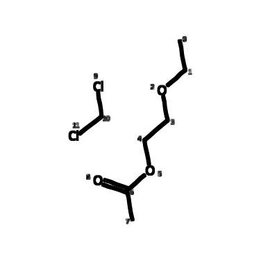 CCOCCOC(C)=O.ClCCl